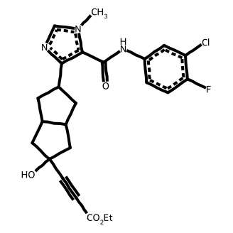 CCOC(=O)C#CC1(O)CC2CC(c3ncn(C)c3C(=O)Nc3ccc(F)c(Cl)c3)CC2C1